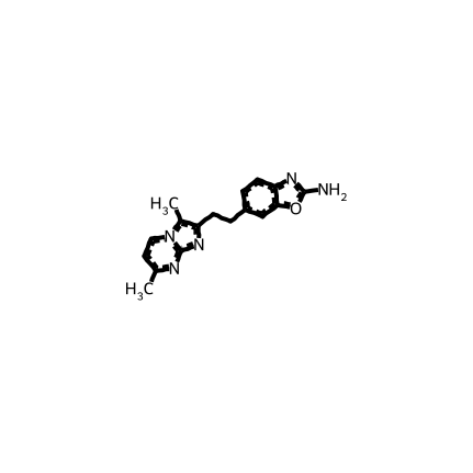 Cc1ccn2c(C)c(CCc3ccc4nc(N)oc4c3)nc2n1